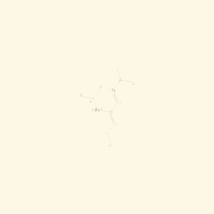 CCC=C(C=NC(C)C)NC(C)C